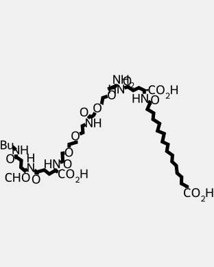 CCCCNC(=O)CC[C@@H](C=O)NC(=O)CCC(NC(=O)COCCOCCNC(=O)COCCOCC(N)NC(=O)CC[C@H](NC(=O)CCCCCCCCCCCCCCCCC(=O)O)C(=O)O)C(=O)O